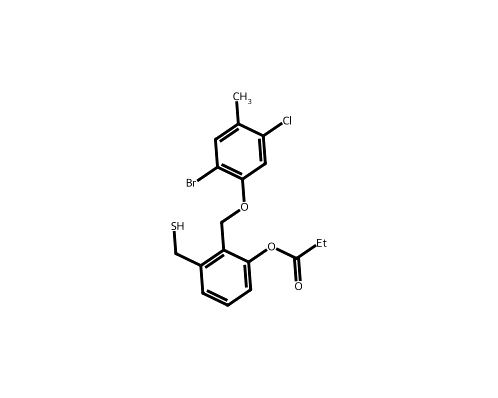 CCC(=O)Oc1cccc(CS)c1COc1cc(Cl)c(C)cc1Br